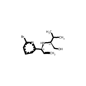 C=C[C@H](N[C@H](CO)C(C)C)c1cccc(Br)n1